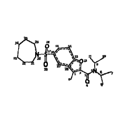 Cc1c(C(=O)N(C(C)C)C(C)C)oc2ccc(S(=O)(=O)N3CCCCCC3)cc12